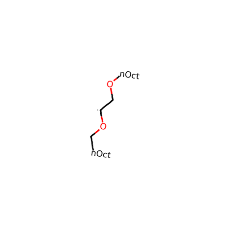 CCCCCCCCCO[CH]COCCCCCCCC